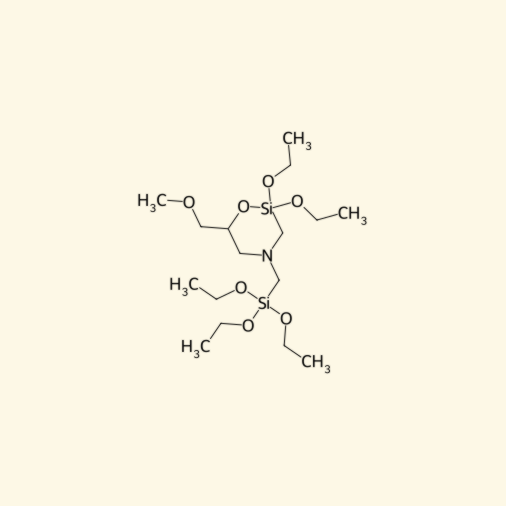 CCO[Si](CN1CC(COC)O[Si](OCC)(OCC)C1)(OCC)OCC